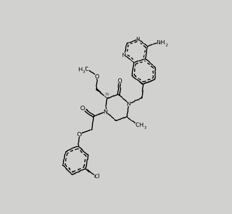 COC[C@H]1C(=O)N(Cc2ccc3c(N)ncnc3c2)C(C)CN1C(=O)COc1cccc(Cl)c1